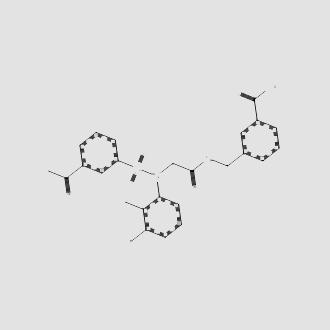 CC(=O)c1cccc(S(=O)(=O)N(CC(=O)NCc2cccc(C(=O)O)c2)c2cccc(Cl)c2C)c1